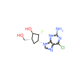 Nc1nc(Cl)c2ncn([C@@H]3C[C@H](CO)[C@@H](O)[C@@H]3F)c2n1